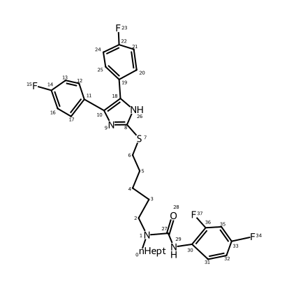 CCCCCCCN(CCCCCSc1nc(-c2ccc(F)cc2)c(-c2ccc(F)cc2)[nH]1)C(=O)Nc1ccc(F)cc1F